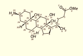 COC(=O)CC[C@@H](C)[C@H]1CC[C@H]2C3C(C[C@H](O)[C@]12C)[C@@]1(C)CC[C@H](N)C[C@H]1C[C@H]3O